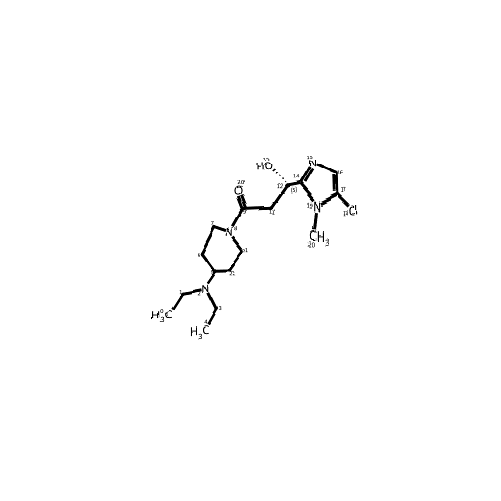 CCN(CC)C1CCN(C(=O)C[C@H](O)c2ncc(Cl)n2C)CC1